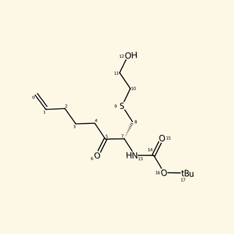 C=CCCCC(=O)[C@H](CSCCO)NC(=O)OC(C)(C)C